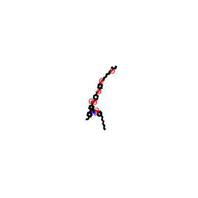 C=Cc1ccc2c(c1)nc(Oc1ccc(CCCCCCC)cc1)c1cc(C(=O)OC3CCC(COc4ccc(OCCCCCCOC(=C)CC)cc4)CC3)ccc12